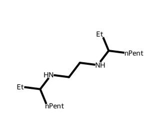 CCCCCC(CC)NCCNC(CC)CCCCC